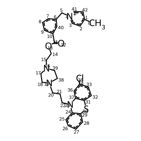 Cc1cc[n+](Cc2cccc(C(=O)OCCN3CCN(CCCN4c5ccccc5Sc5ccc(Cl)cc54)CC3)c2)cc1